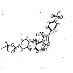 CC(C)(C)OC(=O)N1CCC(Nc2cc[nH]c(=O)c2C(=N)Nc2ccc(S(C)(=O)=O)cc2)C(F)C1